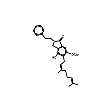 COc1cc2c(c(O)c1CC=C(C)CCC=C(C)C)CN(CCc1ccccc1)C2=O